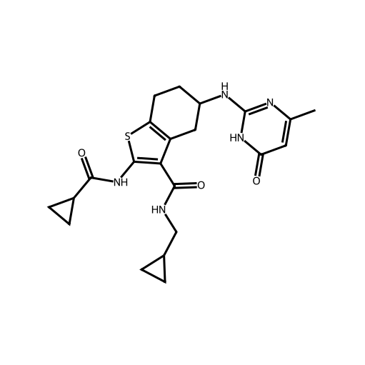 Cc1cc(=O)[nH]c(NC2CCc3sc(NC(=O)C4CC4)c(C(=O)NCC4CC4)c3C2)n1